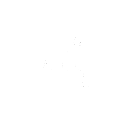 C1C(CC2CS2)CC(CC2CS2)CC1CC1CS1